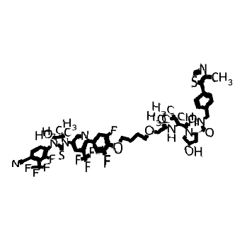 Cc1ncsc1-c1ccc(CNC(=O)[C@@H]2C[C@@H](O)CN2C(=O)[C@@H](NC(=O)COCCCCOc2c(F)cc(-c3ncc(N4C(=S)N(c5ccc(C#N)c(C(F)(F)F)c5F)C(O)C4(C)C)cc3C(F)(F)F)cc2F)C(C)(C)C)cc1